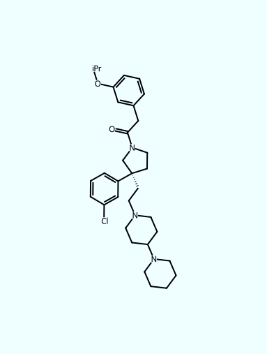 CC(C)Oc1cccc(CC(=O)N2CC[C@@](CCN3CCC(N4CCCCC4)CC3)(c3cccc(Cl)c3)C2)c1